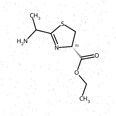 CCOC(=O)[C@H]1CSC(C(C)N)=N1